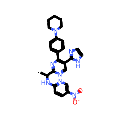 [CH2]C(Nc1ccc([N+](=O)[O-])cn1)c1ncc(-c2ncc[nH]2)c(-c2ccc(N3CCCCC3)cc2)n1